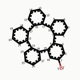 Brc1ccc2c3ccccc3c3ccccc3c3ccccc3c3ccccc3c2c1